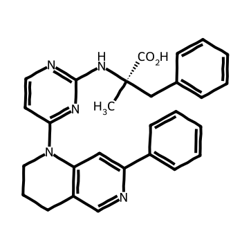 C[C@](Cc1ccccc1)(Nc1nccc(N2CCCc3cnc(-c4ccccc4)cc32)n1)C(=O)O